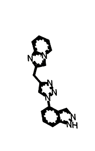 c1cc(-n2cc(Cc3cn4ccccc4n3)nn2)c2cn[nH]c2c1